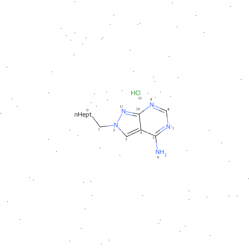 CCCCCCCCn1cc2c(N)ncnc2n1.Cl